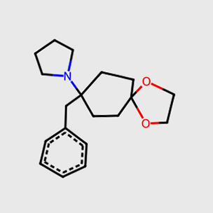 c1ccc(CC2(N3CCCC3)CCC3(CC2)OCCO3)cc1